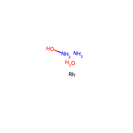 N.NO.O.[Rh]